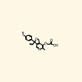 C=CC1(c2ccc(SC)cc2)OCc2c1cnc(C)c2OCC(=O)O